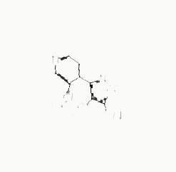 Cc1onc(C2CC=NC=C2Cl)c1C(=O)O